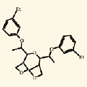 CCc1cccc(OC(C)C(OC(C2COC2)C(C)Oc2cccc(CC)c2)C2COC2)c1